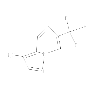 Cc1cnn2cc(C(F)(F)F)ccc12